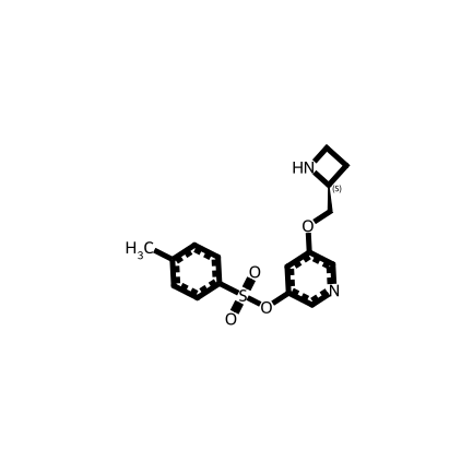 Cc1ccc(S(=O)(=O)Oc2cncc(OC[C@@H]3CCN3)c2)cc1